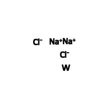 [Cl-].[Cl-].[Na+].[Na+].[W]